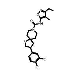 CCc1noc(NC(=O)N2CCC3(CC2)CC(c2ccc(Cl)c(Cl)c2)CO3)c1C